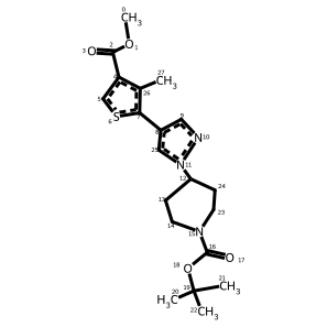 COC(=O)c1csc(-c2cnn(C3CCN(C(=O)OC(C)(C)C)CC3)c2)c1C